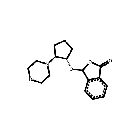 O=C1OC(O[C@H]2CCC[C@@H]2N2CCOCC2)c2ccccc21